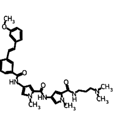 COc1cccc(C=Cc2cccc(C(=O)Nc3cc(C(=O)Nc4cc(C(=O)NCCCN(C)C)n(C)c4)n(C)c3)c2)c1